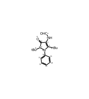 CC(C)(C)c1c(NC=O)c(=O)n(C(C)(C)C)n1-c1ccccc1